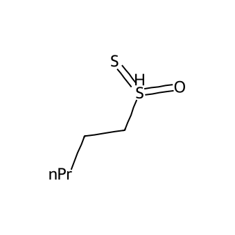 CCCCC[SH](=O)=S